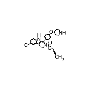 CC#CCOC(=O)N1CCc2c([nH]c3ccc(Cl)cc23)[C@@H]1c1ccc(OC2CCNCC2)cc1